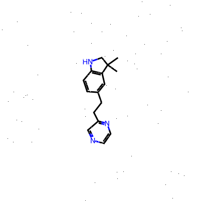 CC1(C)CNc2ccc(CCc3cnccn3)cc21